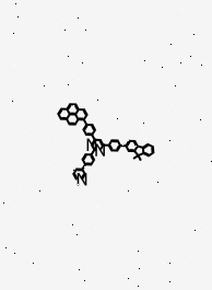 CC1(C)c2ccccc2-c2ccc(-c3ccc(-c4cc(-c5ccc(-c6ccc7ccc8cccc9ccc6c7c89)cc5)nc(-c5ccc(-c6cccnc6)cc5)n4)cc3)cc21